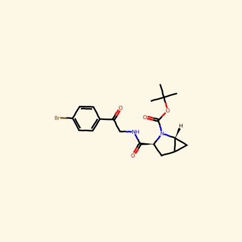 CC(C)(C)OC(=O)N1[C@@H]2CC2C[C@H]1C(=O)NCC(=O)c1ccc(Br)cc1